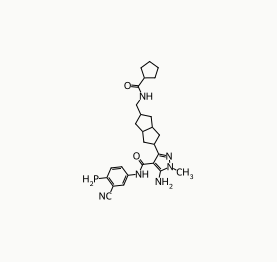 Cn1nc(C2CC3CC(CNC(=O)C4CCCC4)CC3C2)c(C(=O)Nc2ccc(P)c(C#N)c2)c1N